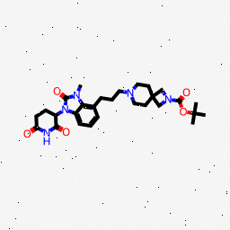 Cn1c(=O)n(C2CCC(=O)NC2=O)c2cccc(CCCN3CCC4(CC3)CN(C(=O)OC(C)(C)C)C4)c21